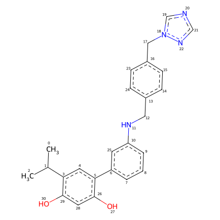 CC(C)c1cc(-c2cccc(NCc3ccc(Cn4cncn4)cc3)c2)c(O)cc1O